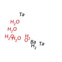 O.O.O.O.O.[BaH2].[Ta].[Ta]